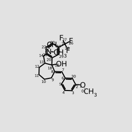 COc1cccc(C=C2CCCCC(CN(C)C)C2(O)c2cccc(C(F)(F)F)c2)c1